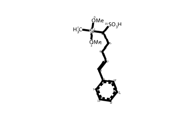 CO[Si](C)(OC)C(CCC=Cc1ccccc1)S(=O)(=O)O